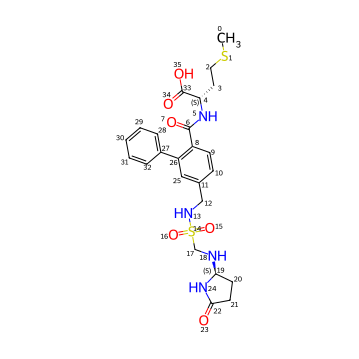 CSCC[C@H](NC(=O)c1ccc(CNS(=O)(=O)CN[C@H]2CCC(=O)N2)cc1-c1ccccc1)C(=O)O